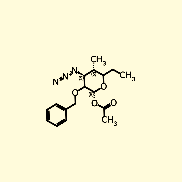 CCC1O[C@H](OC(C)=O)C(OCc2ccccc2)[C@@H](N=[N+]=[N-])[C@@H]1C